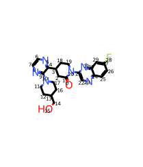 O=C1CC(c2nccnc2N2CCC(CO)CC2)CCN1c1cnc2ccc(F)cc2n1